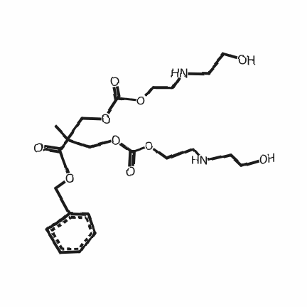 CC(COC(=O)OCCNCCO)(COC(=O)OCCNCCO)C(=O)OCc1ccccc1